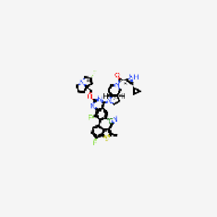 Cc1sc2c(F)ccc(-c3c(Cl)cc4c(N5CC[C@H]6CN(C(=O)[C@@H]7N[C@H]7C7CC7)CC[C@H]65)nc(OC[C@@]56CCCN5C[C@H](F)C6)nc4c3F)c2c1C#N